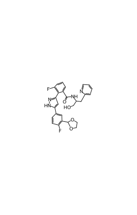 O=C(NC(CO)Cc1ccccn1)c1cccc(F)c1-c1cc(-c2ccc(F)c(C3OCCO3)c2)[nH]n1